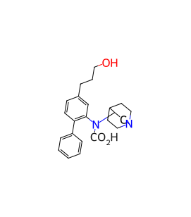 O=C(O)N(c1cc(CCCO)ccc1-c1ccccc1)C1CN2CCC1CC2